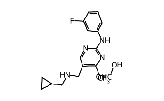 Fc1cccc(Nc2ncc(CNCC3CC3)c(C(F)(F)F)n2)c1.O=CO